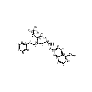 COc1nccc2cc(CN[C@H](C)CN(CCc3ccccc3)C(=O)OC(C)(C)C)ccc12